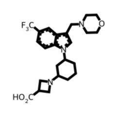 O=C(O)C1CN(C2CCCC(n3cc(CN4CCOCC4)c4cc(C(F)(F)F)ccc43)C2)C1